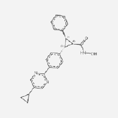 O=C(NO)[C@@H]1[C@H](c2ccccc2)[C@H]1c1ccc(-c2ncc(C3CC3)cn2)cc1